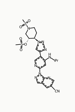 CC(C)Nc1cc(-n2ncc3cc(C#N)cnc32)ncc1-c1cn([C@@H]2CCN(S(C)(=O)=O)C[C@H]2OS(C)(=O)=O)nn1